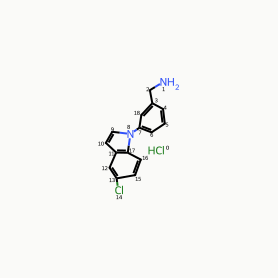 Cl.NCc1cccc(-n2ccc3cc(Cl)ccc32)c1